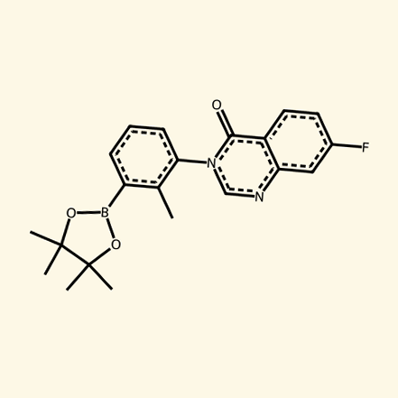 Cc1c(B2OC(C)(C)C(C)(C)O2)cccc1-n1cnc2cc(F)ccc2c1=O